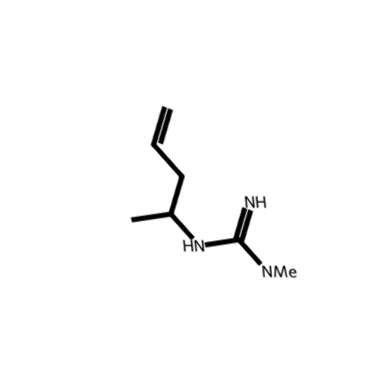 C=CCC(C)NC(=N)NC